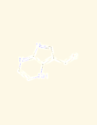 O=Cc1cnc2ncc[nH]c1-2